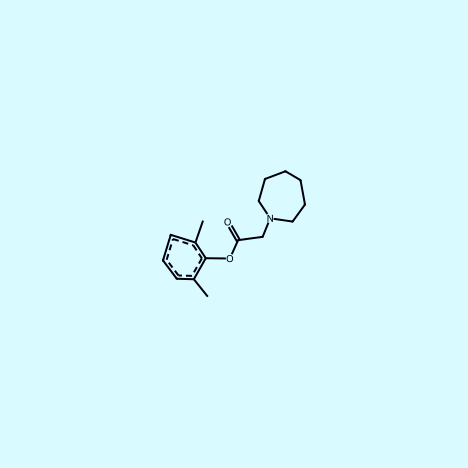 Cc1cccc(C)c1OC(=O)CN1CCCCCC1